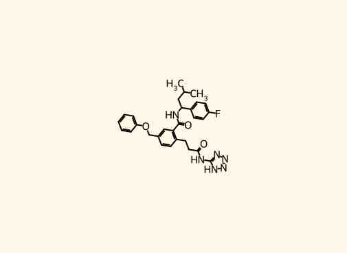 CC(C)CC(NC(=O)c1cc(COc2ccccc2)ccc1CCC(=O)Nc1nnn[nH]1)c1ccc(F)cc1